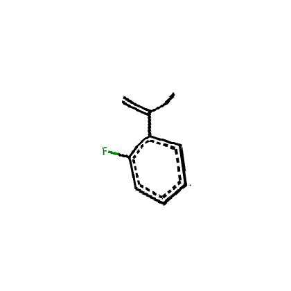 C=C(C)c1c[c]ccc1F